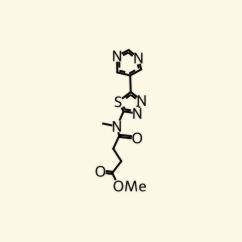 COC(=O)CCC(=O)N(C)c1nnc(-c2cncnc2)s1